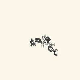 C=CC(=O)N1CCCC(Nc2nc(Nc3cccc(-n4nc(C)cc4C)c3)nc3[nH]ccc23)C1